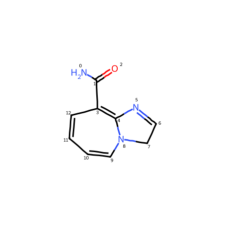 NC(=O)C1=C2N=CCN2C=CC=C1